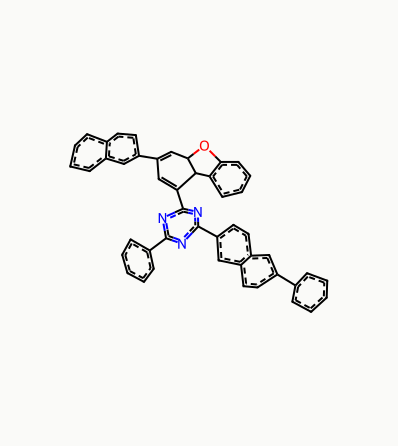 C1=C(c2ccc3ccccc3c2)C=C(c2nc(-c3ccccc3)nc(-c3ccc4cc(-c5ccccc5)ccc4c3)n2)C2c3ccccc3OC12